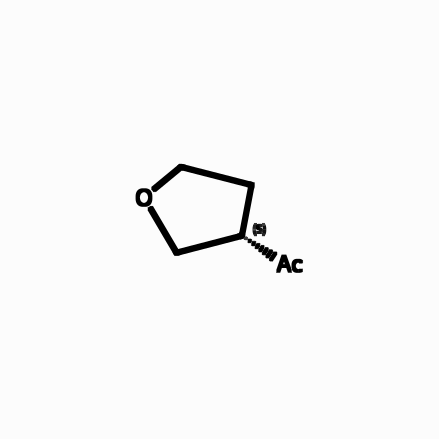 CC(=O)[C@H]1CCOC1